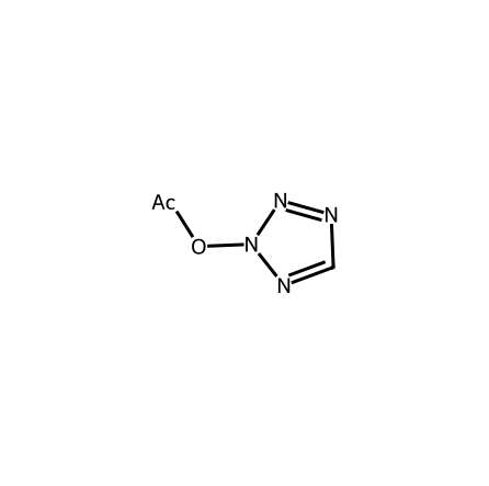 CC(=O)On1ncnn1